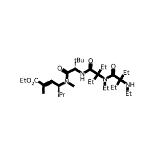 CCNC(CC)(CC)C(=O)N(CC)C(CC)(CC)C(=O)N[C@H](C(=O)N(C)[C@H](/C=C(\C)C(=O)OCC)C(C)C)C(C)(C)C